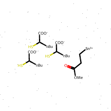 CCCCC(S)C(=O)[O-].CCCCC(S)C(=O)[O-].CCCCC(S)C(=O)[O-].COC(=O)C[CH2][Sn+3]